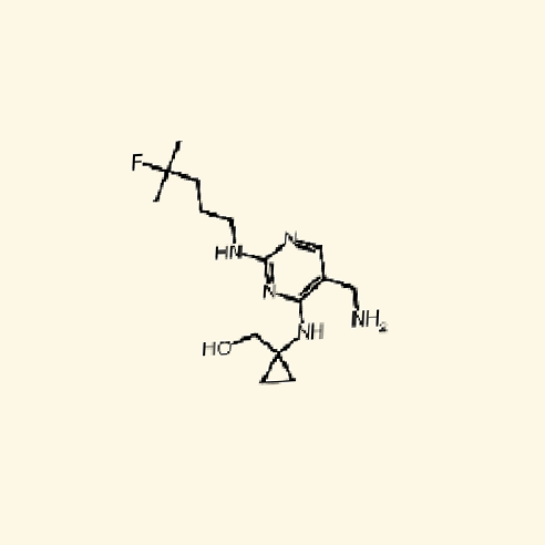 CC(C)(F)CCCNc1ncc(CN)c(NC2(CO)CC2)n1